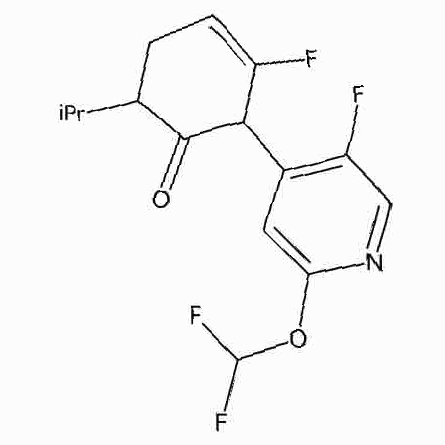 CC(C)C1CC=C(F)C(c2cc(OC(F)F)ncc2F)C1=O